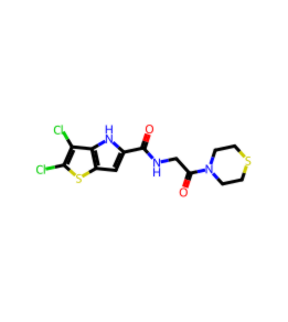 O=C(NCC(=O)N1CCSCC1)c1cc2sc(Cl)c(Cl)c2[nH]1